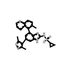 Cc1ccc2ncccc2c1-c1cc(-c2c(C)noc2C)cc2[nH]c(NS(=O)(=O)C3CC3)nc12